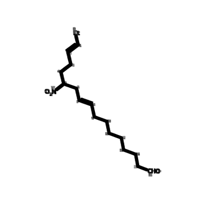 CCC=CCCC(CC=CCCCCCCC[C]=O)[N+](=O)[O-]